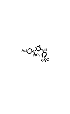 CC(=O)N1CCC(N(c2cc(Nc3ccc(S(C)(=O)=O)cc3)ncn2)[N+](=O)[O-])CC1